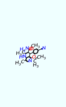 COc1cc(C#N)ccc1C1C(C(N)=O)=C(C)Nc2c(C)cnc(OC(C)C)c21